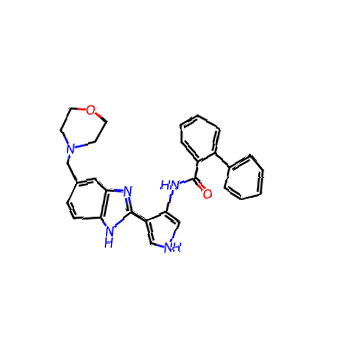 O=C(Nc1c[nH]cc1-c1nc2cc(CN3CCOCC3)ccc2[nH]1)c1ccccc1-c1ccccc1